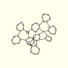 c1ccc2c(c1)-c1ccccc1N(c1ccc3c(c1)C1(c4ccccc4-c4ccccc4-3)c3ccccc3-c3c1ccc1oc4ccccc4c31)c1ccccc1-2